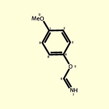 COc1ccc(OC=N)cc1